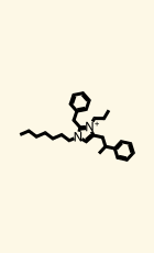 CCCCCCCn1cc(CC(C)c2ccccc2)[n+](CCC)c1Cc1ccccc1